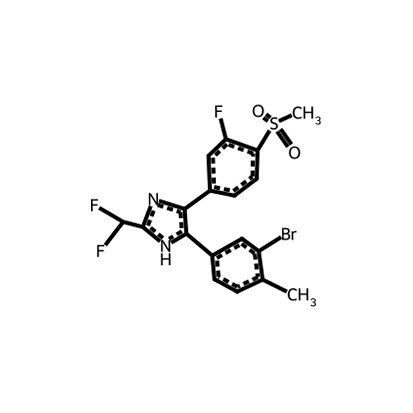 Cc1ccc(-c2[nH]c(C(F)F)nc2-c2ccc(S(C)(=O)=O)c(F)c2)cc1Br